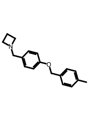 Cc1ccc(COc2ccc(CN3CCC3)cc2)cc1